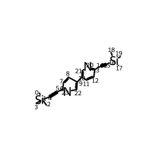 C[Si](C)(C)C#Cc1ccc(-c2ccc(C#C[Si](C)(C)C)nc2)cn1